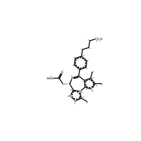 COC(=O)C[C@@H]1N=C(c2ccc(CCCC(=O)O)cc2)c2c(sc(C)c2C)-n2c(C)nnc21